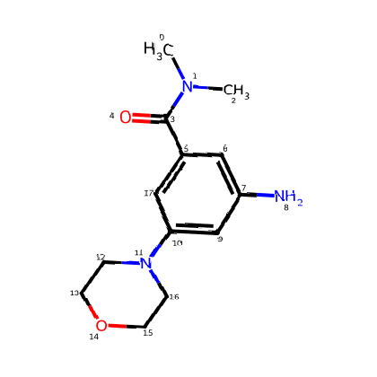 CN(C)C(=O)c1cc(N)cc(N2CCOCC2)c1